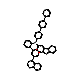 c1ccc(-c2ccc(-c3ccc(N(c4ccc5sc6ccccc6c5c4)c4ccccc4-c4cccc(-c5cccc6ccccc56)c4)cc3)cc2)cc1